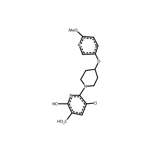 COc1ccc(OC2CCN(c3nc(C#N)c(C(=O)O)cc3Cl)CC2)cn1